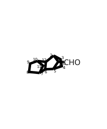 O=CC1C2CCC1C1C3CCC(C3)C21